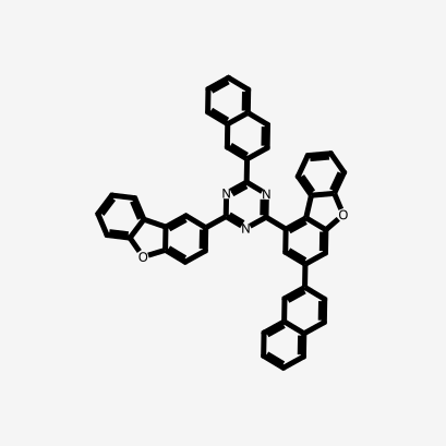 c1ccc2cc(-c3cc(-c4nc(-c5ccc6ccccc6c5)nc(-c5ccc6oc7ccccc7c6c5)n4)c4c(c3)oc3ccccc34)ccc2c1